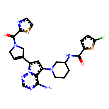 Nc1ncnn2c(C3=CCN(C(=O)c4nccs4)C3)cc(N3CCCC(NC(=O)c4ccc(Cl)s4)C3)c12